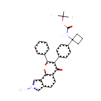 Cn1cc2ccc3c(=O)c(-c4ccc(C5(NC(=O)OC(C)(C)C)CCC5)cc4)c(-c4ccccc4)oc3c2c1